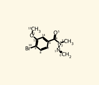 C=NN(C)C(=O)c1ccc(Br)c(OC)c1